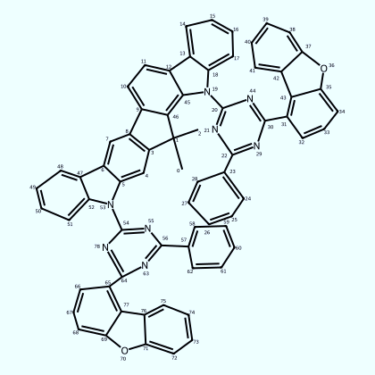 CC1(C)c2cc3c(cc2-c2ccc4c5ccccc5n(-c5nc(-c6ccccc6)nc(-c6cccc7oc8ccccc8c67)n5)c4c21)c1ccccc1n3-c1nc(-c2ccccc2)nc(-c2cccc3oc4ccccc4c23)n1